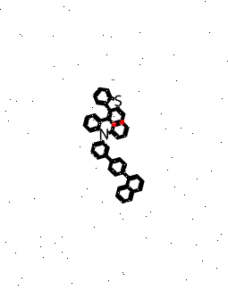 c1ccc(N(c2cccc(-c3ccc(-c4cccc5ccccc45)cc3)c2)c2ccccc2-c2cccc3sc4ccccc4c23)cc1